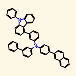 c1ccc(-c2cccc(N(c3ccc(-c4ccc5ccccc5c4)cc3)c3cccc(-c4cccc5c4c4ccccc4n5-c4ccccc4)c3)c2)cc1